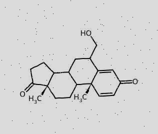 C[C@]12C=CC(=O)C=C1C(CO)CC1C2CC[C@]2(C)C(=O)CCC12